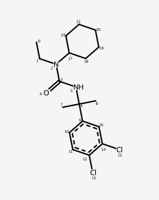 CCN(C(=O)NC(C)(C)c1ccc(Cl)c(Cl)c1)C1CCCCC1